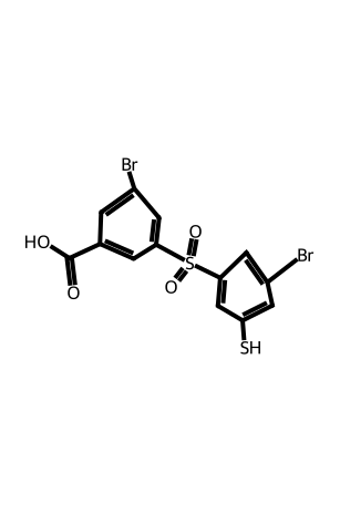 O=C(O)c1cc(Br)cc(S(=O)(=O)c2cc(S)cc(Br)c2)c1